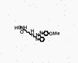 COc1ccc(N(C)c2nc(CNCCCCC(=O)NO)nc3ccccc23)cc1